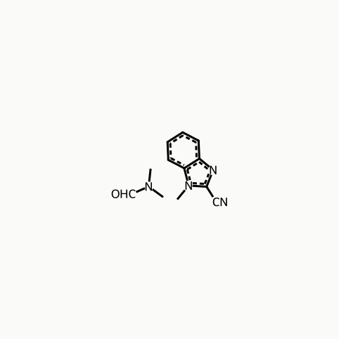 CN(C)C=O.Cn1c(C#N)nc2ccccc21